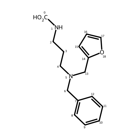 O=C(O)NCCCN(Cc1ccccc1)Cc1ccco1